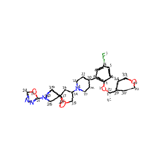 C[C@H](Oc1ccc(F)cc1C1CCN(C2COC3(C2)CN(c2nnco2)C3)CC1)C1CCOCC1